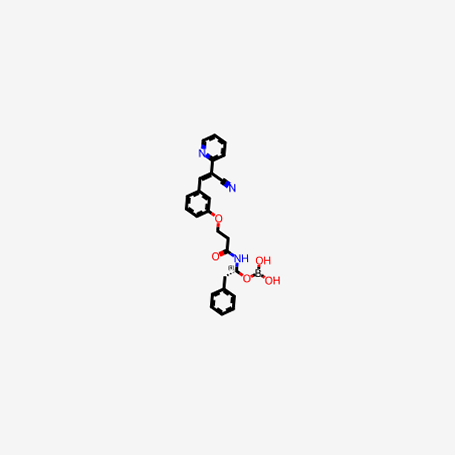 N#CC(=Cc1cccc(OCCC(=O)N[C@@H](Cc2ccccc2)OB(O)O)c1)c1ccccn1